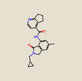 Cc1cc2c(c(NC(=O)c3ccnc4c3CCC4)c1)C(=O)N(CC1CC1)C2